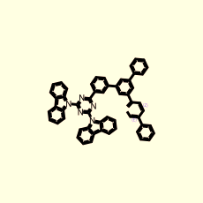 C=C(/C=C\C(=C/C)c1ccccc1)c1cc(-c2ccccc2)cc(-c2cccc(-c3nc(-n4c5ccccc5c5ccccc54)nc(-n4c5ccccc5c5ccccc54)n3)c2)c1